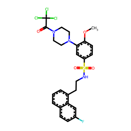 COc1ccc(S(=O)(=O)NCCc2cccc3ccc(F)cc23)cc1N1CCN(C(=O)C(Cl)(Cl)Cl)CC1